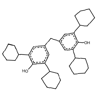 Oc1c(C2CCCCC2)cc(Cc2cc(C3CCCCC3)c(O)c(C3CCCCC3)c2)cc1C1CCCCC1